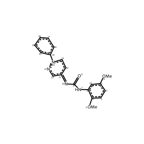 COc1ccc(OC)c(NC(=O)N=c2ccn(-c3ccccc3)nc2)c1